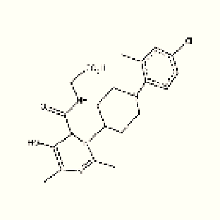 CC1=NC(C)=C(O)C(C(=O)NCC(=O)O)N1C1CCN(c2ccc(Cl)cc2C)CC1